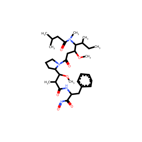 CCC(C)C(C(CC(=O)N1CCCC1C(OC)C(C)C(=O)NC(Cc1ccccc1)C(=O)N=O)OC)N(C)C(=O)CC(C)C